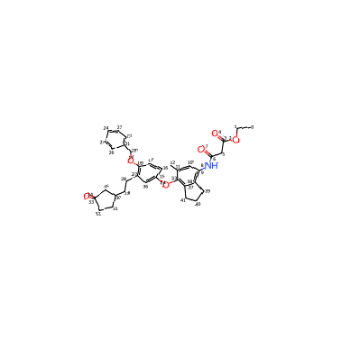 CCOC(=O)CC(=O)Nc1cc(C)c(Oc2ccc(OCc3ccccc3)c(CCC3CCC(=O)C3)c2)c2c1CCC2